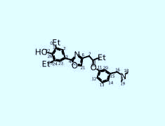 CCc1cc(-c2nc(CC(CC)Oc3cccc(CN(C)C)c3)co2)cc(CC)c1O